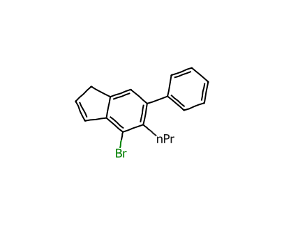 CCCc1c(-c2ccccc2)cc2c(c1Br)C=CC2